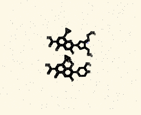 CO/N=C1\CN(c2nc3c(cc2F)c(=O)c(C(=O)O)cn3C2CC2)CC1CN.COc1c(N2CCNC(C)C2)c(F)cc2c(=O)c(C(=O)O)cn(C3CC3)c12